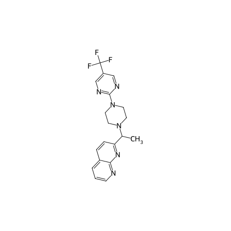 CC(c1ccc2cccnc2n1)N1CCN(c2ncc(C(F)(F)F)cn2)CC1